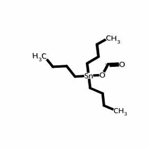 CCC[CH2][Sn]([CH2]CCC)([CH2]CCC)[O][C]=O